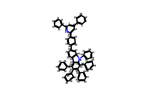 c1ccc(-c2cc(-c3ccccc3)nc(-c3ccc(-c4ccc5c6c(-c7ccccc7)c(-c7ccccc7)c(-c7ccccc7)c(-c7ccccc7)c6n(-c6ccccc6)c5c4)cc3)c2)cc1